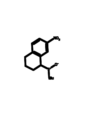 CC(C)(C)[S+]([O-])C1CCCc2ccc([N+](=O)[O-])cc21